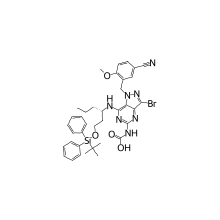 CCC[C@@H](CCO[Si](c1ccccc1)(c1ccccc1)C(C)(C)C)Nc1nc(NC(=O)O)nc2c(Br)nn(Cc3cc(C#N)ccc3OC)c12